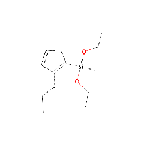 CCCC1=C([Si](C)(OCC)OCC)CC=C1